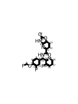 O=C(N[C@@H](c1ccc(OCF)c(F)c1)c1ncccc1F)c1ccc2oc(=O)[nH]c2n1